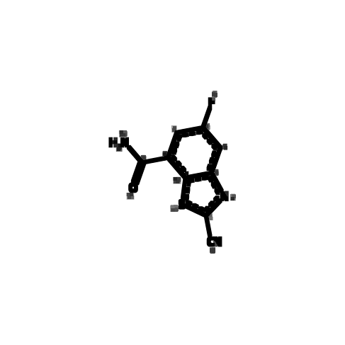 N#Cc1nc2cc(F)cc(C(N)=O)c2s1